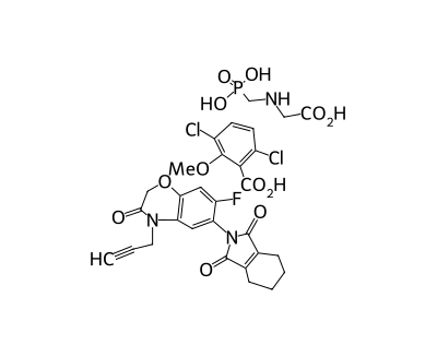 C#CCN1C(=O)COc2cc(F)c(N3C(=O)C4=C(CCCC4)C3=O)cc21.COc1c(Cl)ccc(Cl)c1C(=O)O.O=C(O)CNCP(=O)(O)O